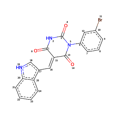 O=C1NC(=O)N(c2cccc(Br)c2)C(=O)/C1=C/c1c[nH]c2ccccc12